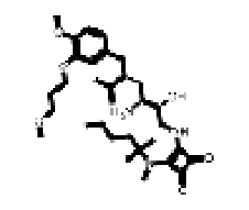 CCCCC(C)(C)N(C)c1c(NC[C@H](O)[C@@H](N)C[C@H](Cc2ccc(OC)c(OCCCOC)c2)C(C)C)c(=O)c1=O